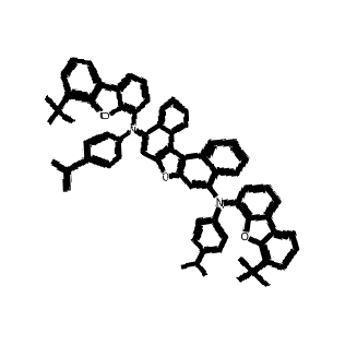 CC(C)c1ccc(N(c2cc3oc4cc(N(c5ccc(C(C)C)cc5)c5cccc6c5oc5c(C(C)(C)C)cccc56)c5ccccc5c4c3c3ccccc23)c2cccc3c2oc2c(C(C)(C)C)cccc23)cc1